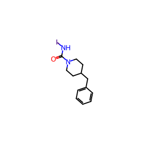 O=C(NI)N1CCC(Cc2ccccc2)CC1